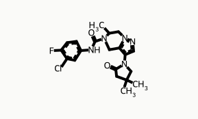 CC1Cn2ncc(N3CC(C)(C)CC3=O)c2CN1C(=O)Nc1ccc(F)c(Cl)c1